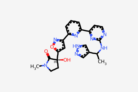 CC(Nc1nccc(-c2cccc(-c3cc([C@]4(O)CCN(C)C4=O)on3)n2)n1)c1cn[nH]c1